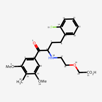 COc1cc(C(=O)C(CCc2ccccc2F)NCCOCC(=O)O)cc(OC)c1C